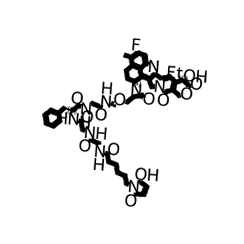 CC[C@@]1(O)C(=O)OCc2c1cc1n(c2=O)Cc2c-1nc1cc(F)c(C)c3c1c2[C@@H](N1C(=O)C1COCNC(=O)CNC(=O)[C@H](Cc1ccccc1)NC(=O)CNC(=O)CNC(=O)CCCCCN1C(=O)C=CC1O)CC3